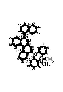 C[Si]1(C)c2ccccc2N(c2cc3cc(-c4cccc5ccccc45)c4ccccc4c3c3ccccc23)c2ccccc21